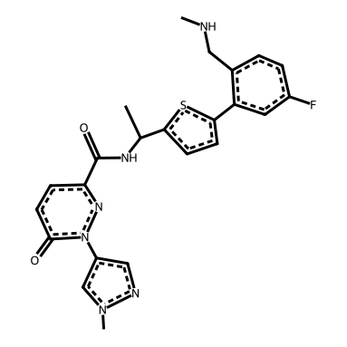 CNCc1ccc(F)cc1-c1ccc(C(C)NC(=O)c2ccc(=O)n(-c3cnn(C)c3)n2)s1